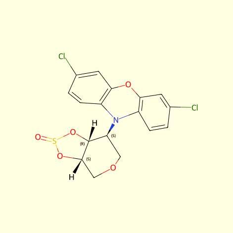 O=S1O[C@H]2[C@H](COC[C@@H]2N2c3ccc(Cl)cc3Oc3cc(Cl)ccc32)O1